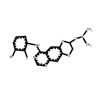 CN(C)CC1COc2cc3ncnc(Nc4cccc(Br)c4F)c3cc2O1